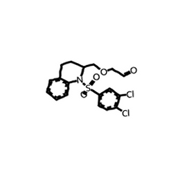 O=CCOCC1CCc2ccccc2N1S(=O)(=O)c1ccc(Cl)c(Cl)c1